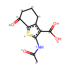 CC(=O)Nc1sc2c(c1C(=O)O)CCCC2=O